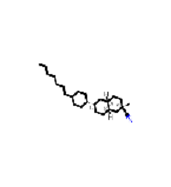 CCCCCCCC1CCC([C@H]2CC[C@H]3C[C@@](C)(C#N)CC[C@H]3C2)CC1